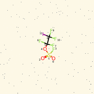 O=S(=O)(F)OC(F)(F)C(F)(F)I